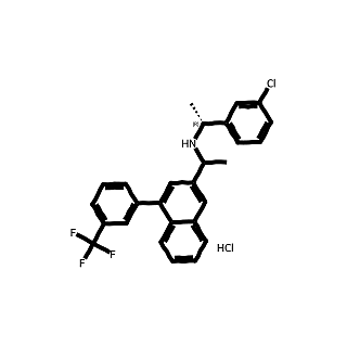 CC(N[C@H](C)c1cccc(Cl)c1)c1cc(-c2cccc(C(F)(F)F)c2)c2ccccc2c1.Cl